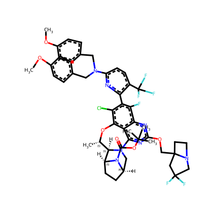 COc1ccc(CN(Cc2ccc(OC)cc2)c2ccc(C(F)(F)F)c(-c3c(Cl)c4c5c(nc(OCC67CCN6CC(F)(F)C7)nc5c3F)N3C[C@H]5CC[C@@H]([C@H]3[C@H](C)O4)N5C(=O)OC(C)(C)C)n2)cc1